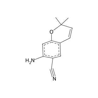 CC1(C)C=Cc2cc(C#N)c(N)cc2O1